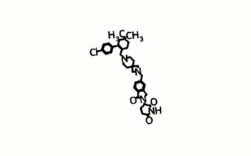 CC1(C)CCC(CN2CCC3(CC2)CN(Cc2ccc4c(c2)CN(C2CCC(=O)NC2=O)C4=O)C3)=C(c2ccc(Cl)cc2)C1